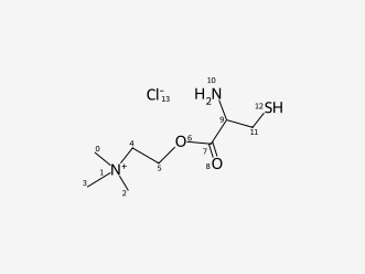 C[N+](C)(C)CCOC(=O)C(N)CS.[Cl-]